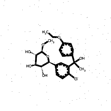 CCOc1ccc(C(C)(O)c2cc([C@@H]3O[C@H](OC)[C@@H](O)[C@H](O)[C@H]3O)ccc2Cl)cc1